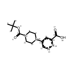 CC(C)(C)OC(=O)N1CCN(c2cnnc(C(=O)O)c2)CC1